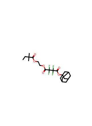 CCC(C)(C)C(=O)OCCOC(=O)C(F)(F)C(F)(F)C(=O)OC12CC3CC(CC(C3)C1)C2